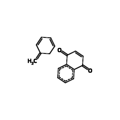 C=C1C=CC=CC1.O=C1C=CC(=O)c2ccccc21